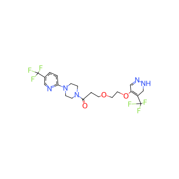 O=C(CCOCCOC1=C(C(F)(F)F)CNN=C1)N1CCN(c2ccc(C(F)(F)F)cn2)CC1